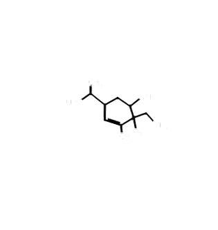 CCC1(O)C(C)=CC(C(C)C)CC1C